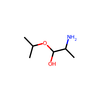 CC(C)OC(O)C(C)N